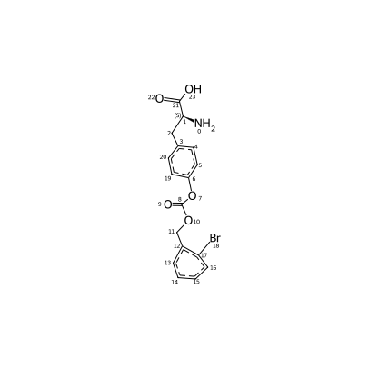 N[C@@H](Cc1ccc(OC(=O)OCc2ccccc2Br)cc1)C(=O)O